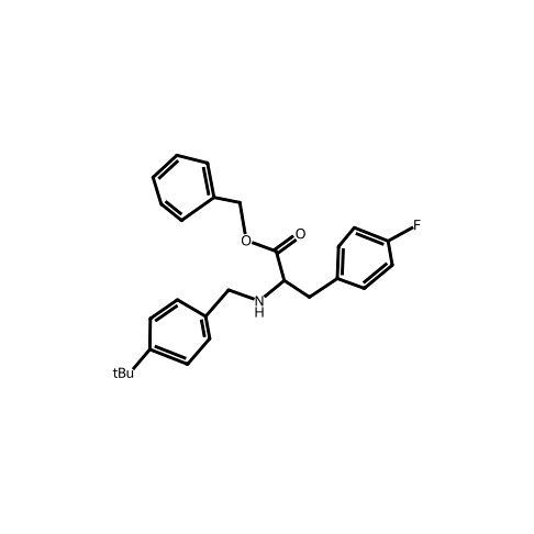 CC(C)(C)c1ccc(CNC(Cc2ccc(F)cc2)C(=O)OCc2ccccc2)cc1